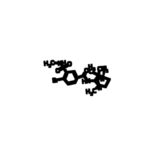 CNS(=O)(=O)c1cc(C(=O)NC2C(C)(C)[C@@H]3CC[C@@]2(C)C3)ccc1Br